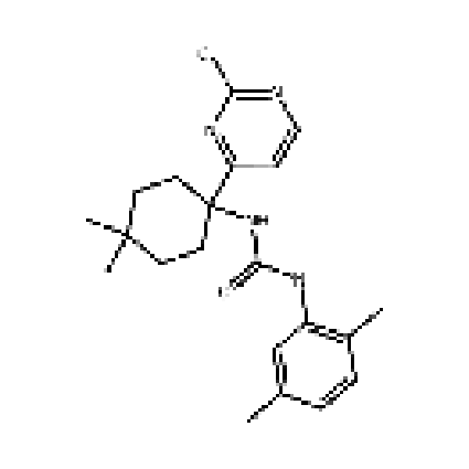 Cc1ccc(C)c(NC(=O)NC2(c3ccnc(Cl)n3)CCC(C)(C)CC2)c1